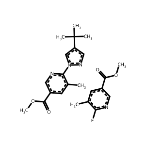 COC(=O)c1cnc(-n2cc(C(C)(C)C)cn2)c(C)c1.COC(=O)c1cnc(F)c(C)c1